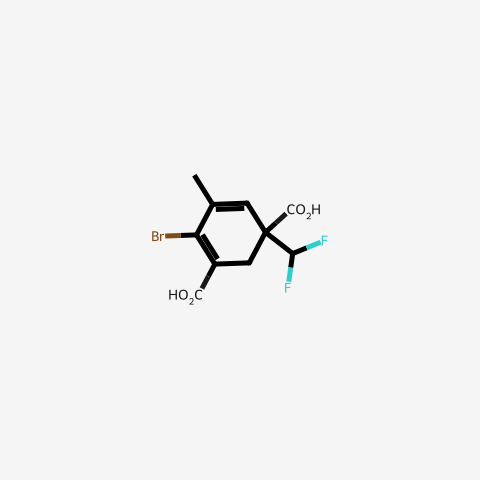 CC1=CC(C(=O)O)(C(F)F)CC(C(=O)O)=C1Br